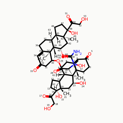 C[C@]12CCC(=O)C=C1CC[C@H]1[C@@H]3CC[C@](O)(C(=O)CO)[C@@]3(C)C[C@H](O)[C@@]12C(C(=O)OC1CC(=O)C=C2CC[C@@H]3[C@H]([C@@H](O)C[C@@]4(C)[C@H]3CC[C@]4(O)C(=O)CO)[C@]21C)N(O)C(N)=O